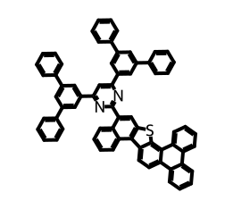 c1ccc(-c2cc(-c3ccccc3)cc(-c3cc(-c4cc(-c5ccccc5)cc(-c5ccccc5)c4)nc(-c4cc5sc6c(ccc7c8ccccc8c8ccccc8c76)c5c5ccccc45)n3)c2)cc1